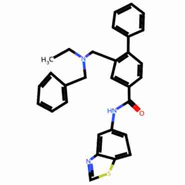 CCN(Cc1ccccc1)Cc1cc(C(=O)Nc2ccc3scnc3c2)ccc1-c1ccccc1